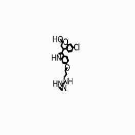 O=C(O)CC(c1ccc(Cl)cc1)c1c[nH]c2cc(OCCCNc3ncc[nH]3)ccc12